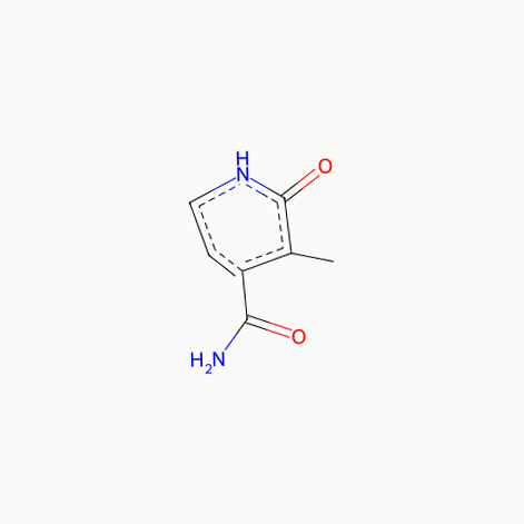 Cc1c(C(N)=O)cc[nH]c1=O